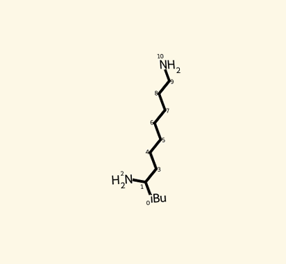 CCC(C)C(N)CCCCCCCN